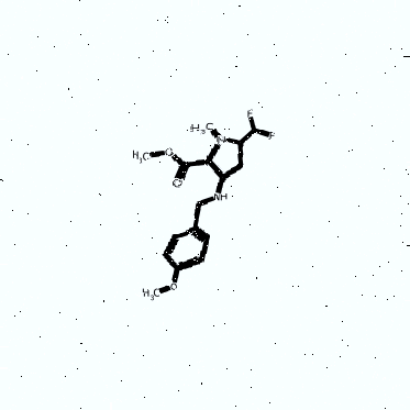 COC(=O)C1C(NCc2ccc(OC)cc2)CC(C(F)F)N1C